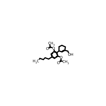 CCCCCc1cc(OC(C)=O)c(C2C=C(CO)CCC2)c(OC(C)=O)c1